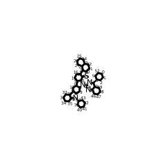 c1ccc(-c2nc(-n3c4cc5c(cc4c4ccc6c(sc7ccc8ccccc8c76)c43)c3ccccc3n5-c3ccccc3)nc3ccccc23)cc1